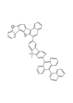 CC1(C)c2ccc(-c3cc4ccccc4c4c3sc3c4ccc4oc5ccccc5c43)cc2-c2ccc(-c3c4ccccc4c(-c4cccc5ccccc45)c4ccccc34)cc21